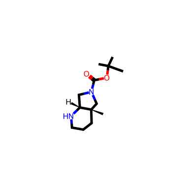 CC(C)(C)OC(=O)N1C[C@H]2NCCC[C@@]2(C)C1